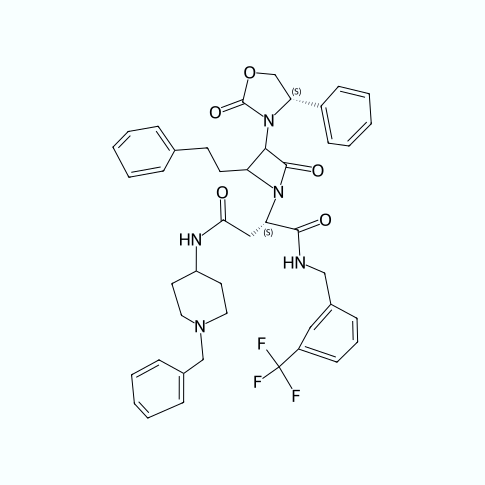 O=C(C[C@@H](C(=O)NCc1cccc(C(F)(F)F)c1)N1C(=O)C(N2C(=O)OC[C@@H]2c2ccccc2)C1CCc1ccccc1)NC1CCN(Cc2ccccc2)CC1